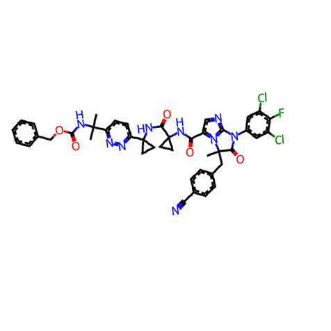 CC(C)(NC(=O)OCc1ccccc1)c1ccc(C2(NC(=O)C3(NC(=O)c4cnc5n4C(C)(Cc4ccc(C#N)cc4)C(=O)N5c4cc(Cl)c(F)c(Cl)c4)CC3)CC2)nn1